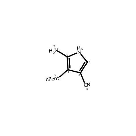 CCCCCc1c(C#N)c[nH]c1N